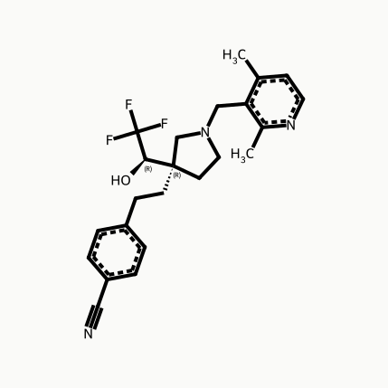 Cc1ccnc(C)c1CN1CC[C@@](CCc2ccc(C#N)cc2)([C@@H](O)C(F)(F)F)C1